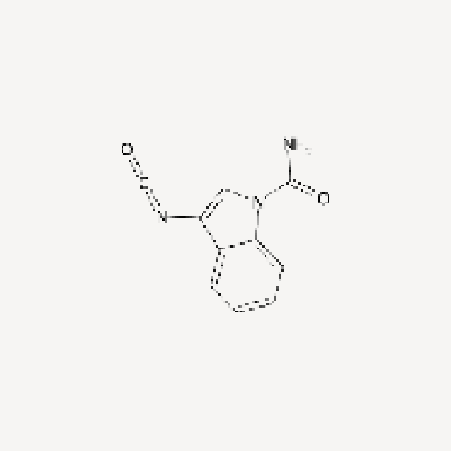 NC(=O)n1cc(N=C=O)c2ccccc21